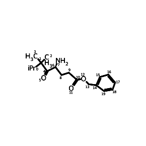 CC(C)C(C)(C)C(=O)[C@@H](N)CCC(=O)OCc1ccccc1